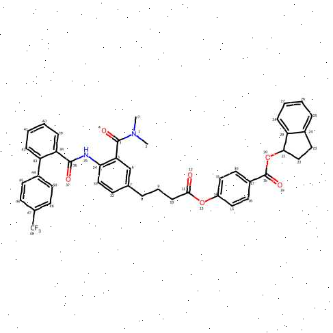 CN(C)C(=O)c1cc(CCCC(=O)Oc2ccc(C(=O)OC3CCc4ccccc43)cc2)ccc1NC(=O)c1ccccc1-c1ccc(C(F)(F)F)cc1